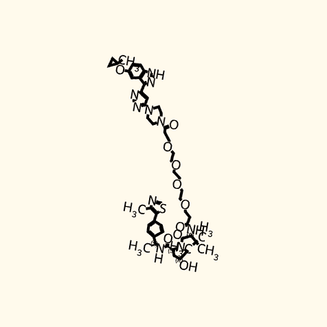 Cc1ncsc1-c1ccc([C@H](C)NC(=O)[C@@H]2C[C@@H](O)CN2C(=O)[C@@H](NC(=O)CCOCCOCCOCCOCCC(=O)N2CCN(c3cc(-c4n[nH]c5ccc(OC6(C)CC6)cc45)ncn3)CC2)C(C)(C)C)cc1